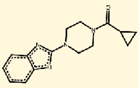 O=C(C1CC1)N1CCN(c2nc3ccccc3o2)CC1